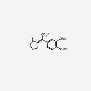 CCOC(=O)C(=C1CCCN1C)c1ccc(OC)c(OC)c1